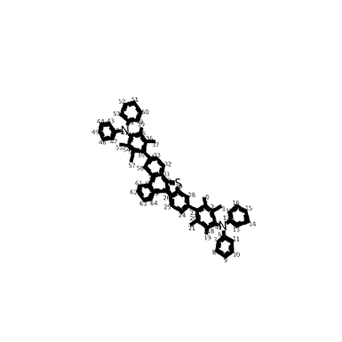 Cc1c(C)c(N(c2ccccc2)c2ccccc2)c(C)c(C)c1-c1ccc2c(c1)sc1c3ccc(-c4c(C)c(C)c(N(c5ccccc5)c5ccccc5)c(C)c4C)cc3c3ccccc3c21